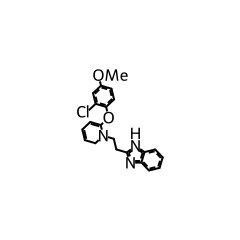 COc1ccc(OC2=CC=CCN2CCc2nc3ccccc3[nH]2)c(Cl)c1